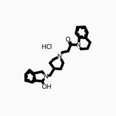 Cl.O=C(CCN1CCC(CN2Cc3ccccc3C2O)CC1)N1CCCc2ccccc21